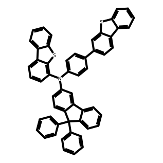 c1ccc(C2(c3ccccc3)c3ccccc3-c3cc(N(c4ccc(-c5ccc6c(c5)sc5ccccc56)cc4)c4cccc5c4sc4ccccc45)ccc32)cc1